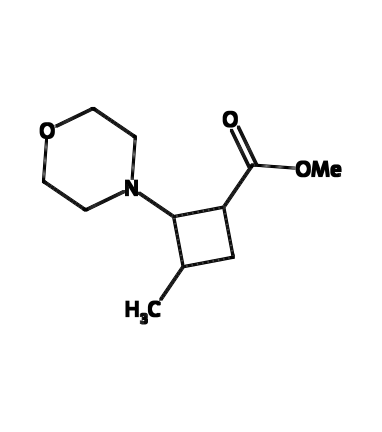 COC(=O)C1CC(C)C1N1CCOCC1